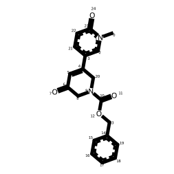 Cn1cc(C2=CC(=O)CN(C(=O)OCc3ccccc3)C2)ccc1=O